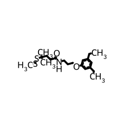 CCc1cc(CC)cc(OCCCNC(=O)CCC(C)(C)SSC)c1